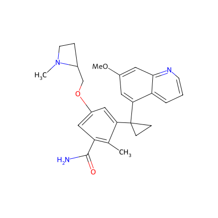 COc1cc(C2(c3cc(OCC4CCN4C)cc(C(N)=O)c3C)CC2)c2cccnc2c1